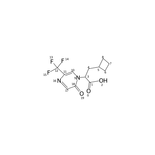 O=C(O)C(CC1CCC1)n1cc(C(F)(F)F)ncc1=O